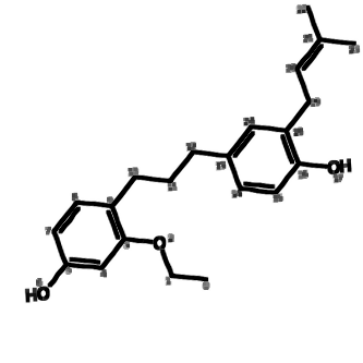 CCOc1cc(O)ccc1CCCc1ccc(O)c(CC=C(C)C)c1